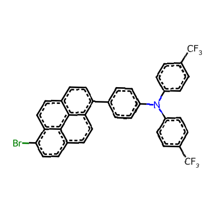 FC(F)(F)c1ccc(N(c2ccc(-c3ccc4ccc5c(Br)ccc6ccc3c4c65)cc2)c2ccc(C(F)(F)F)cc2)cc1